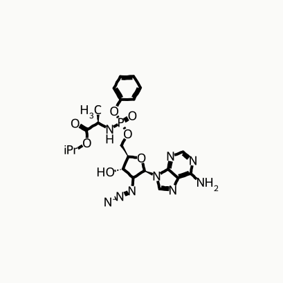 CC(C)OC(=O)[C@@H](C)NP(=O)(OC[C@H]1O[C@@H](n2cnc3c(N)ncnc32)C(N=[N+]=[N-])[C@@H]1O)Oc1ccccc1